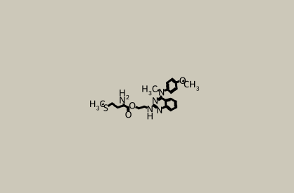 COc1ccc(N(C)c2nc(NCCOC(=O)C(N)CCSC)nc3ccccc23)cc1